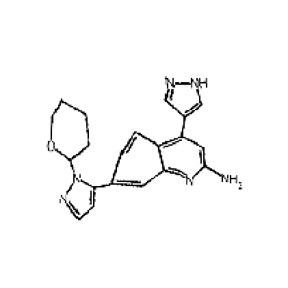 Nc1cc(-c2cn[nH]c2)c2ccc(-c3ccnn3C3CCCCO3)cc2n1